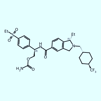 CC[C@H]1c2ccc(C(=O)N[C@@H](COC(N)=O)c3ccc(S(=O)(=O)CC)cc3)cc2CN1C[C@H]1CC[C@H](C(F)(F)F)CC1